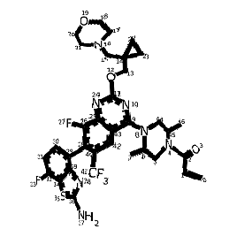 C=CC(=O)N1CC(C)N(c2nc(OCC3(CN4CCOCC4)CC3)nc3c(F)c(-c4ccc(F)c5sc(N)nc45)c(C(F)(F)F)cc23)CC1C